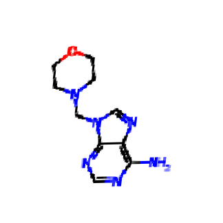 Nc1ncnc2c1ncn2CN1CCOCC1